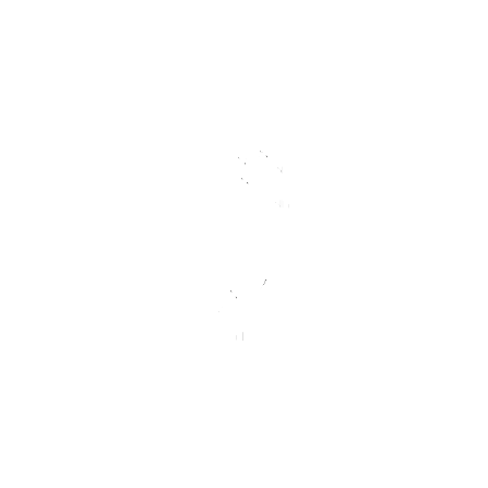 CN[C@@H](CCCCNc1nnn[nH]1)C(=O)O